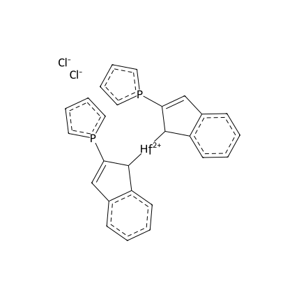 C1=C(p2cccc2)[CH]([Hf+2][CH]2C(p3cccc3)=Cc3ccccc32)c2ccccc21.[Cl-].[Cl-]